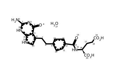 Nc1nc(=O)c2c(CCc3ccc(C(=O)N[C@@H](CCC(=O)O)C(=O)O)cc3)c[nH]c2[nH]1.O